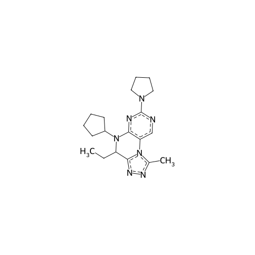 CCC1c2nnc(C)n2-c2cnc(N3CCCC3)nc2N1C1CCCC1